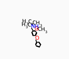 COc1cc(OCc2ccccc2)ccc1CNC(C)(C)C